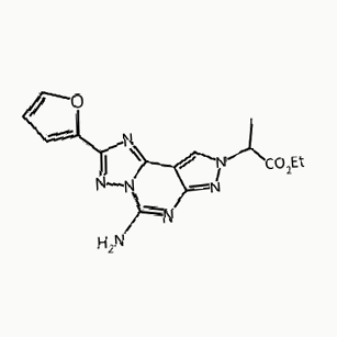 CCOC(=O)C(C)n1cc2c(nc(N)n3nc(-c4ccco4)nc23)n1